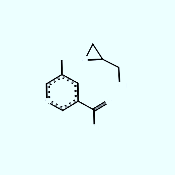 CCC1CO1.O=C(O)c1cncc(I)c1